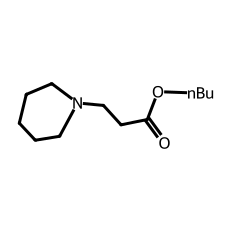 CCCCOC(=O)CCN1CCCCC1